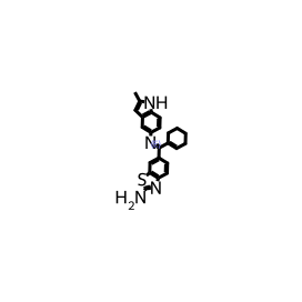 Cc1cc2cc(/N=C(\C3=CCCCC3)c3ccc4nc(N)sc4c3)ccc2[nH]1